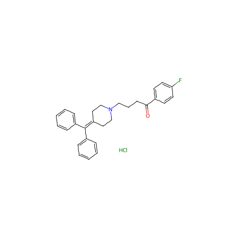 Cl.O=C(CCCN1CCC(=C(c2ccccc2)c2ccccc2)CC1)c1ccc(F)cc1